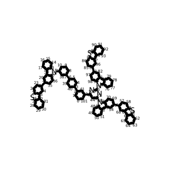 c1cc(-c2ccc(-c3cccc(-n4c5ccccc5c5cc(-c6ccc7sc8ccccc8c7c6)ccc54)c3)cc2)cc(-c2cc(-n3c4ccccc4c4cc(-c5ccc6sc7ccccc7c6c5)ccc43)nc(-n3c4ccccc4c4cc(-c5ccc6sc7ccccc7c6c5)ccc43)n2)c1